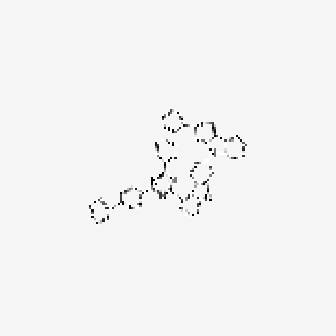 C1=CC(n2c3ccccc3c3ccc(-c4ccccc4)cc32)Cc2oc3cccc(-c4nc(-c5ccccc5)nc(-c5ccc(-c6ccccc6)cc5)n4)c3c21